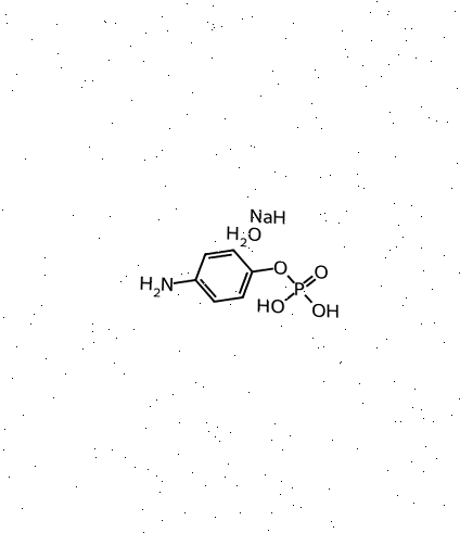 Nc1ccc(OP(=O)(O)O)cc1.O.[NaH]